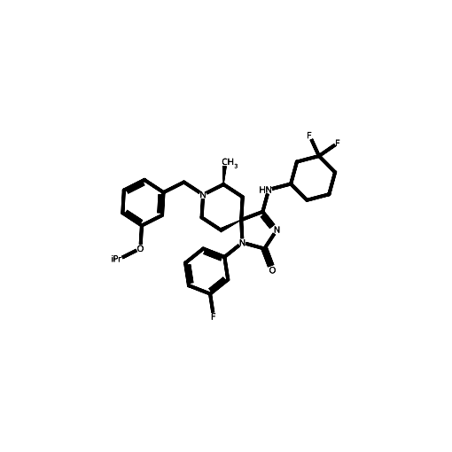 CC(C)Oc1cccc(CN2CC[C@@]3(C[C@@H]2C)C(NC2CCCC(F)(F)C2)=NC(=O)N3c2cccc(F)c2)c1